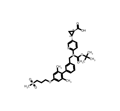 Cc1cc(OCCCS(C)(=O)=O)cc(C)c1-c1cccc(CN(C(=O)OC(C)(C)C)c2ccc([C@@H]3C[C@H]3C(=O)O)cn2)c1